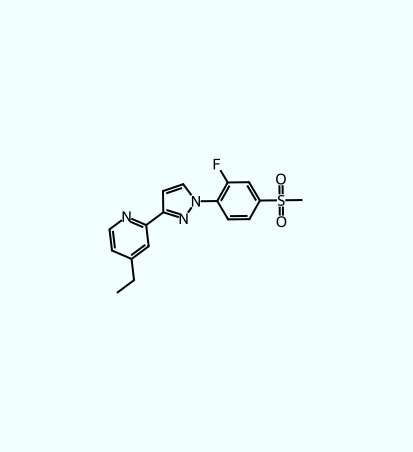 CCc1ccnc(-c2ccn(-c3ccc(S(C)(=O)=O)cc3F)n2)c1